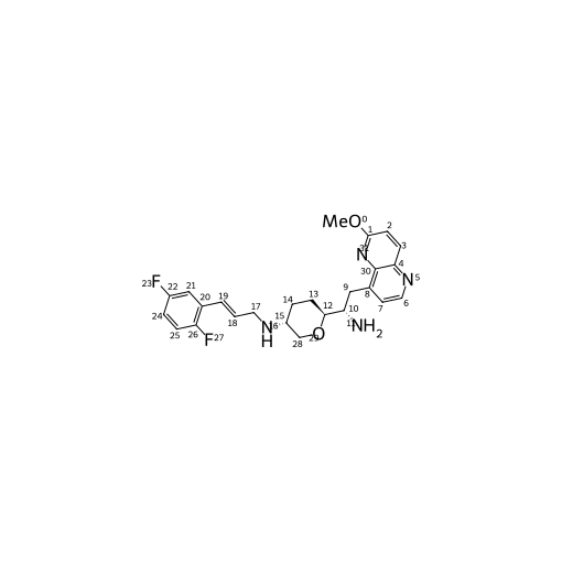 COc1ccc2nccc(C[C@H](N)[C@@H]3CC[C@@H](NCC=Cc4cc(F)ccc4F)CO3)c2n1